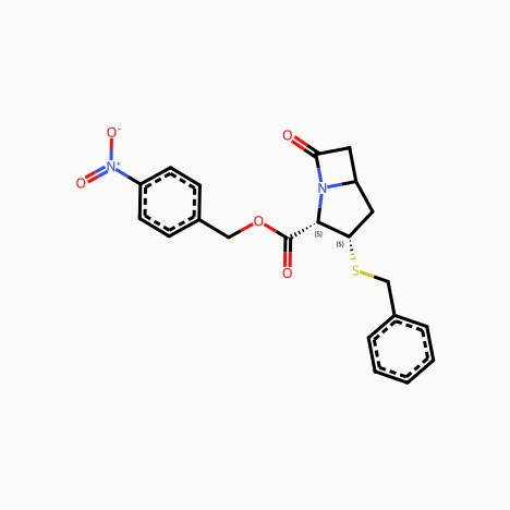 O=C(OCc1ccc([N+](=O)[O-])cc1)[C@H]1[C@@H](SCc2ccccc2)CC2CC(=O)N21